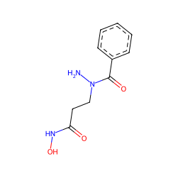 NN(CCC(=O)NO)C(=O)c1ccccc1